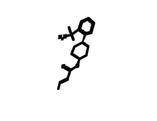 C/C=C/C(=O)O[C@H]1CC[C@H](c2ccccc2C(C)(C)N)CC1